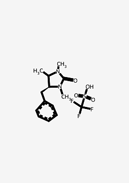 CC1[C@H](Cc2ccccc2)N(C)C(=O)N1C.O=S(=O)(O)C(F)(F)F